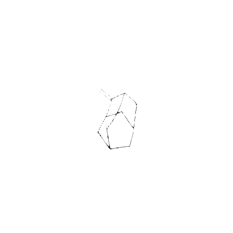 S=C1C2CC3CC(C2)CC1C3